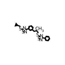 CC(CSc1nc(-c2ccccc2)ns1)Cc1cccc(-c2nsc(SCC3CC3)n2)c1